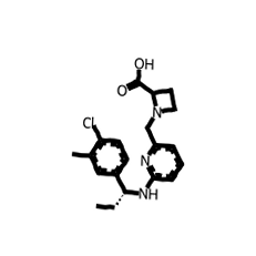 CC[C@@H](Nc1cccc(CN2CCC2C(=O)O)n1)c1ccc(Cl)c(C)c1